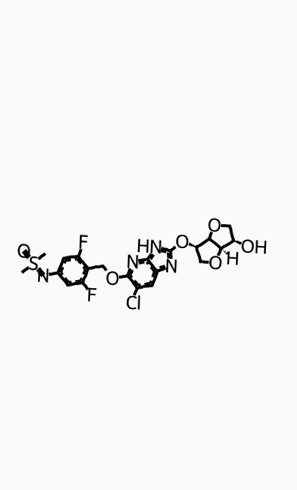 CS(C)(=O)=Nc1cc(F)c(COc2nc3[nH]c(O[C@@H]4CO[C@H]5C4OC[C@H]5O)nc3cc2Cl)c(F)c1